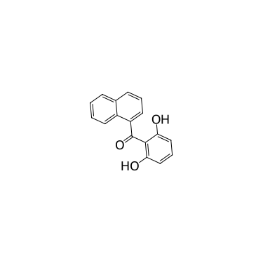 O=C(c1c(O)cccc1O)c1cccc2ccccc12